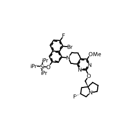 COc1nc(OC[C@@]23CCCN2C[C@H](F)C3)nc2c1CCN(c1cc(O[Si](C(C)C)(C(C)C)C(C)C)cc3ccc(F)c(Br)c13)C2